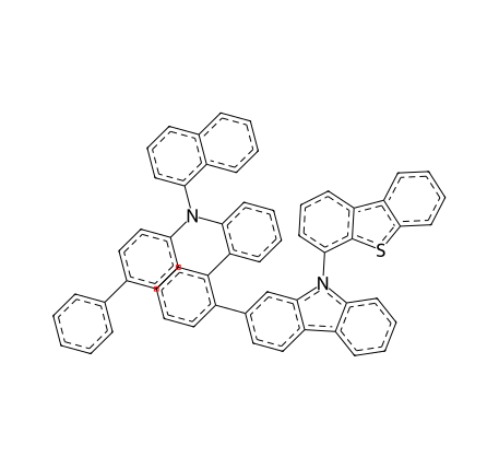 c1ccc(-c2ccc(N(c3ccccc3-c3ccccc3-c3ccc4c5ccccc5n(-c5cccc6c5sc5ccccc56)c4c3)c3cccc4ccccc34)cc2)cc1